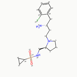 N[C@@H](CCN1CCC[C@H]1CNS(=O)(=O)C1CC1)Cc1ccccc1F